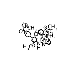 COc1cc(C2CCN(C(=O)C3CCCN3C)CC2)c(C)cc1Nc1nc(Nc2ccccc2S(=O)(=O)C(C)C)n2nccc2n1